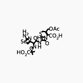 CC(=O)OCC1=C(C(=O)O)N2C(=O)[C@@H](NC(=O)C(=NOC(C)(C)C(=O)O)c3c[se]c(N)n3)[C@H]2SC1